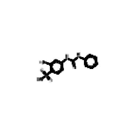 Nc1cc(NC(=O)Nc2ccccc2)ccc1S(=O)(=O)O